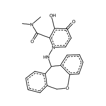 CN(C)C(=O)c1c(O)c(=O)ccn1NC1c2ccccc2COc2ccccc21